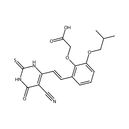 CC(C)COc1cccc(/C=C/c2[nH]c(=S)[nH]c(=O)c2C#N)c1OCC(=O)O